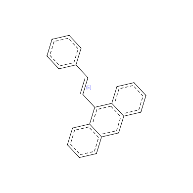 C(=C\c1c2ccccc2cc2ccccc12)/c1ccccc1